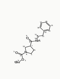 CC(C)(C)OC(=O)N1CCC(C(=O)NSCc2ccccc2)C1